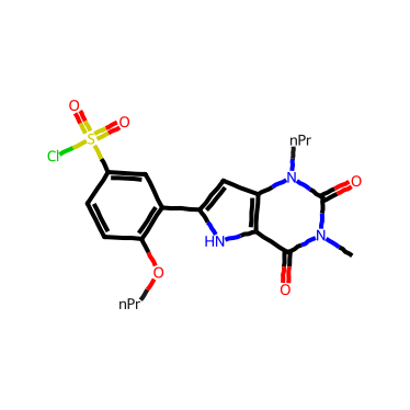 CCCOc1ccc(S(=O)(=O)Cl)cc1-c1cc2c([nH]1)c(=O)n(C)c(=O)n2CCC